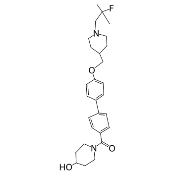 CC(C)(F)CN1CCC(COc2ccc(-c3ccc(C(=O)N4CCC(O)CC4)cc3)cc2)CC1